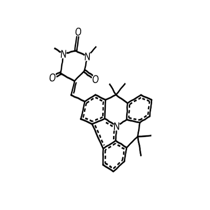 CN1C(=O)C(=Cc2cc3c4c(c2)c2cccc5c2n4-c2c(cccc2C3(C)C)C5(C)C)C(=O)N(C)C1=O